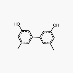 Cc1cc(O)cc(-c2cc(C)cc(O)c2)c1